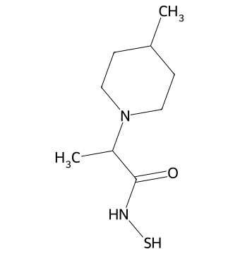 CC1CCN(C(C)C(=O)NS)CC1